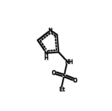 CCS(=O)(=O)Nc1cnc[nH]1